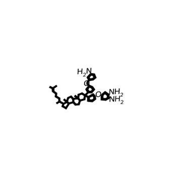 CC(C)=CCCCC(C)C1CCC2C3CCC4CC(c5cccc(Oc6cccc(N)c6)c5)(c5cccc(Oc6ccc(N)c(N)c6)c5)CCC4(C)C3CCC12C